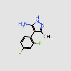 Cc1n[nH]c(N)c1-c1ccc(F)cc1F